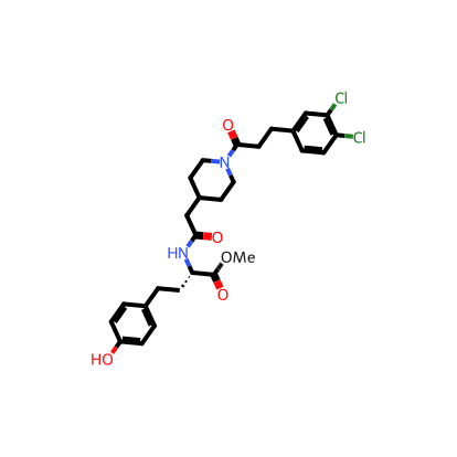 COC(=O)[C@H](CCc1ccc(O)cc1)NC(=O)CC1CCN(C(=O)CCc2ccc(Cl)c(Cl)c2)CC1